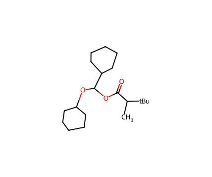 CC(C(=O)OC(OC1CCCCC1)C1CCCCC1)C(C)(C)C